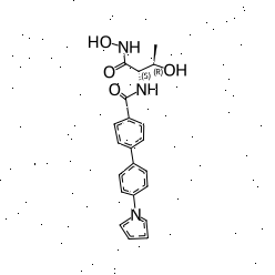 C[C@@H](O)[C@H](NC(=O)c1ccc(-c2ccc(-n3cccc3)cc2)cc1)C(=O)NO